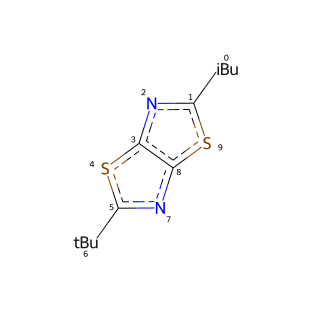 CCC(C)c1nc2sc(C(C)(C)C)nc2s1